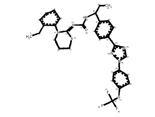 CCc1ccccc1N1CCCS/C1=N\C(=O)NC(CC)c1ccc(-c2ncn(-c3ccc(OC(F)(F)F)cc3)n2)cc1